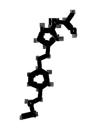 C=NOCc1ccc(CCc2csc(NC(C)=O)n2)cc1